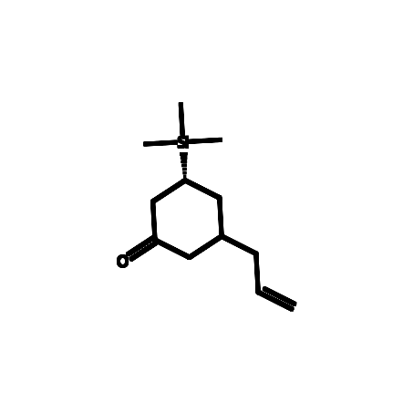 C=CCC1CC(=O)C[C@H]([Si](C)(C)C)C1